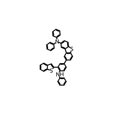 c1ccc(Nc2ccc(-c3ccc4sc5ccc(N(c6ccccc6)c6ccccc6)cc5c4c3)cc2-c2cc3ccccc3s2)cc1